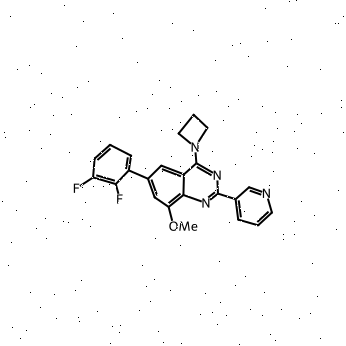 COc1cc(-c2cccc(F)c2F)cc2c(N3CCC3)nc(-c3cccnc3)nc12